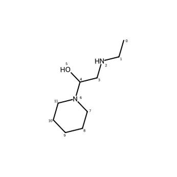 CCNCC(O)N1CCCCC1